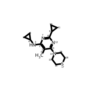 Cc1c(NC2CC2)nc(C2CC2)nc1N1CCSCC1